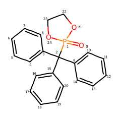 O=P1(C(c2ccccc2)(c2ccccc2)c2ccccc2)OCCO1